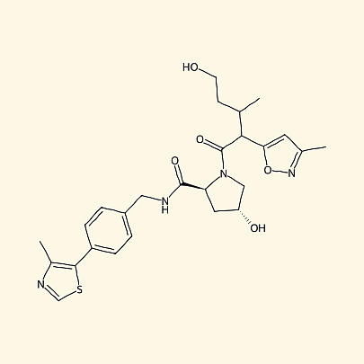 Cc1cc(C(C(=O)N2C[C@H](O)C[C@H]2C(=O)NCc2ccc(-c3scnc3C)cc2)C(C)CCO)on1